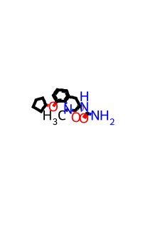 CN1C(=O)[C@H](NC(N)=O)Cc2cccc(OC3CCCC3)c21